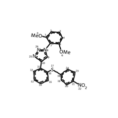 COc1cccc(OC)c1-n1cc(-c2ccccc2Sc2ccc([N+](=O)[O-])cc2)nn1